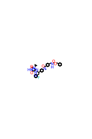 CN(C(=O)c1ccc(CNC(=O)OCc2ccccc2)cc1)c1ccc(C(Cc2ccccc2F)c2nc3c([nH]2)c(=O)[nH]c(=O)n3C2CC2)cc1